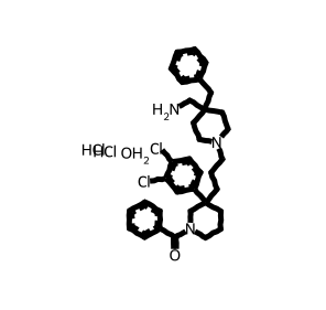 Cl.Cl.NCC1(Cc2ccccc2)CCN(CCCC2(c3ccc(Cl)c(Cl)c3)CCCN(C(=O)c3ccccc3)C2)CC1.O